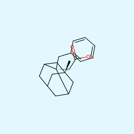 C[C@]12CC3CC(C1)[C@](CC(=O)O)(Cc1ccccc1)C(C3)C2